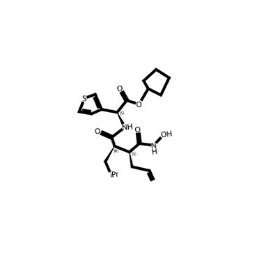 C=CC[C@H](C(=O)NO)[C@@H](CC(C)C)C(=O)N[C@H](C(=O)OC1CCCC1)c1ccsc1